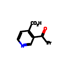 CC(C)C(=O)c1cnccc1C(=O)O